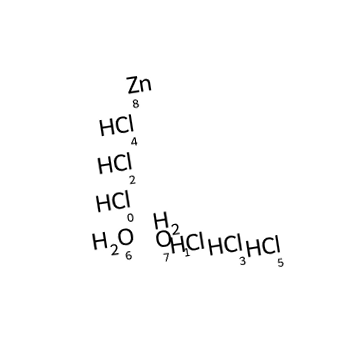 Cl.Cl.Cl.Cl.Cl.Cl.O.O.[Zn]